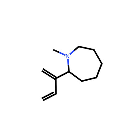 C=CC(=C)C1CCCCCN1C